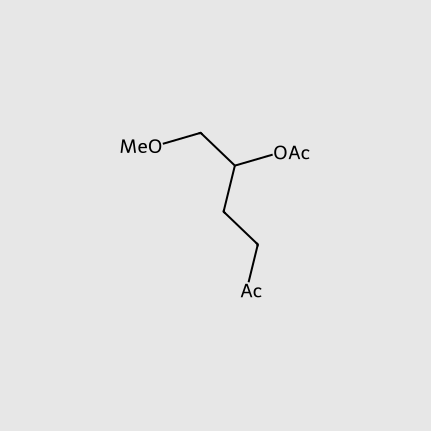 COCC(CCC(C)=O)OC(C)=O